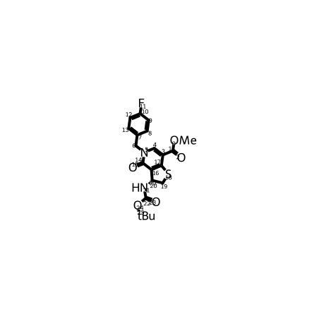 COC(=O)c1cn(Cc2ccc(F)cc2)c(=O)c2c1SC[C@@H]2NC(=O)OC(C)(C)C